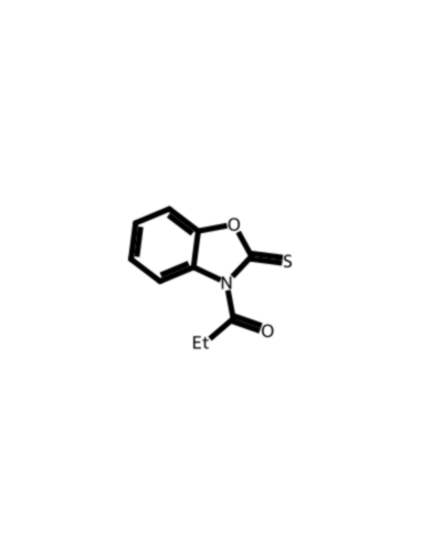 CCC(=O)n1c(=S)oc2ccccc21